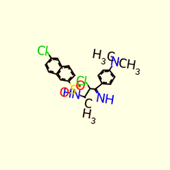 C[C@H](NS(=O)(=O)c1ccc2cc(Cl)ccc2c1)C(Cl)C(=N)c1ccc(N(C)C)cc1